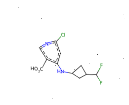 O=C(O)c1cnc(Cl)cc1NC1CC(C(F)F)C1